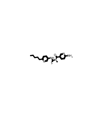 CCCCCc1ccc(NC(=S)N(C)C(=O)c2ccc(N)nc2)cn1